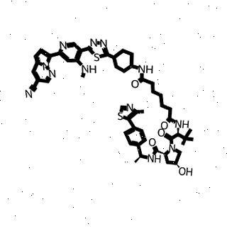 CNc1cc(-c2ccc3cc(C#N)cnn23)ncc1-c1nnc(C2CCC(NC(=O)CCCCCC(=O)N[C@H](C(=O)N3C[C@H](O)C[C@H]3C(=O)N[C@@H](C)c3ccc(-c4scnc4C)cc3)C(C)(C)C)CC2)s1